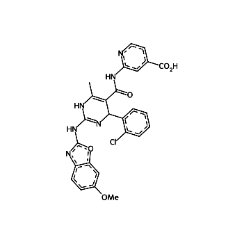 COc1ccc2nc(NC3=NC(c4ccccc4Cl)C(C(=O)Nc4cc(C(=O)O)ccn4)=C(C)N3)oc2c1